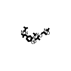 Cc1nc(COc2nc(C)n(-c3cc(-c4nc(C(C)C)ncc4C)ccc3Cl)c(=O)c2C)co1